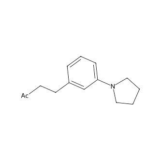 CC(=O)CCc1cccc(N2CCCC2)c1